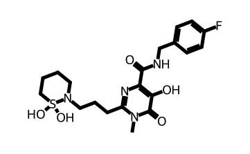 Cn1c(CCCN2CCCCS2(O)O)nc(C(=O)NCc2ccc(F)cc2)c(O)c1=O